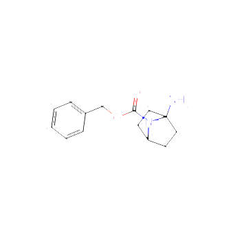 NC12CCC(CC1)N2C(=O)OCc1ccccc1